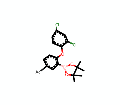 CC(=O)c1ccc(Oc2ccc(Cl)cc2Cl)c(B2OC(C)(C)C(C)(C)O2)c1